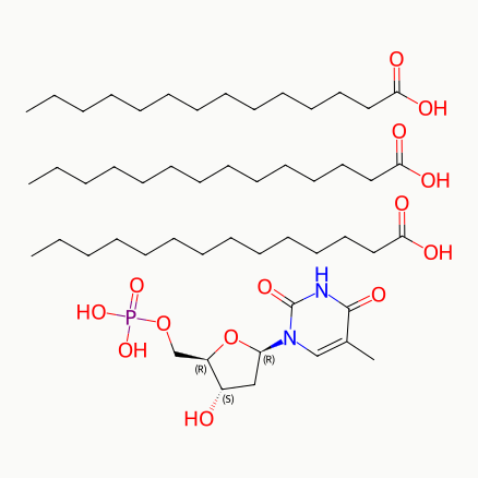 CCCCCCCCCCCCCC(=O)O.CCCCCCCCCCCCCC(=O)O.CCCCCCCCCCCCCC(=O)O.Cc1cn([C@H]2C[C@H](O)[C@@H](COP(=O)(O)O)O2)c(=O)[nH]c1=O